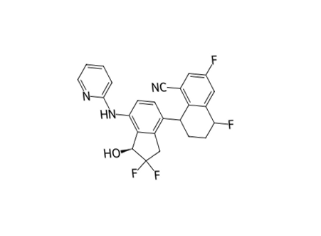 N#Cc1cc(F)cc2c1C(c1ccc(Nc3ccccn3)c3c1CC(F)(F)[C@H]3O)CCC2F